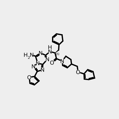 Nc1nc(N[C@@H](CC2=CC=CCC2)C(=O)N2C=CC(COc3ccccc3)CC2)nc2nc(-c3ccco3)nn12